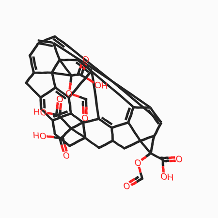 O=COC1(C(=O)O)C2c3ccc4c5c3-c3c6c7c8c9c3C53C(OC=O)(C(=O)O)C35C(=C4)Cc3cc4c(c-9c35)C83C(CC4)(CC7CC621)C3(C(=O)O)C(=O)O